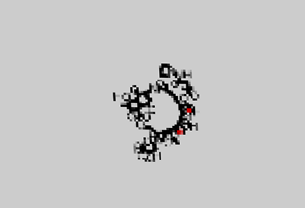 CC(=O)O[C@H]1[C@H](C)[C@H](O)[C@H](C)[C@@H](O)[C@@H](C(C)OC(=O)C(C)(C)CC(=O)NN2CCCCC2)/C=C/C=C(/C)C(=O)NC2=CC(=O)c3c(c(O)c(C)c4c3C(=O)[C@@](C)(O/C=C/[C@H](O[C@H]3C[C@@H]5OCO[C@@H]5[C@@H](C)O3)[C@H]1C)O4)C2=O